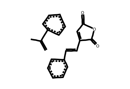 C=C(C)c1ccccc1.O=C1C=C(C=Cc2ccccc2)C(=O)O1